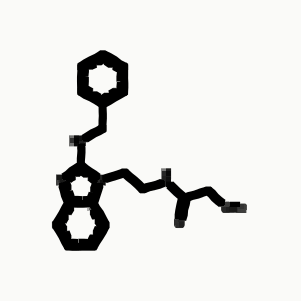 COCC(=O)NCCn1c(NCc2ccccc2)nc2ccccc21